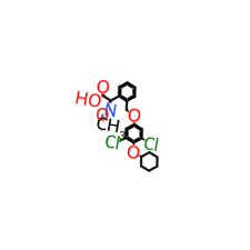 CON=C(C(=O)O)c1ccccc1COc1cc(Cl)c(OC2CCCCC2)c(Cl)c1